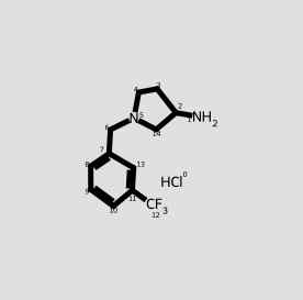 Cl.NC1CCN(Cc2cccc(C(F)(F)F)c2)C1